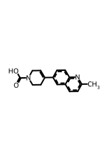 Cc1ccc2cc(C3=CCN(C(=O)O)CC3)ccc2n1